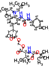 CCC(CC(=O)OCOC(=O)C(NC(=O)OC(C)(C)C)C(C)C)c1ccc(N(CC(C)C)CC(C)C)c(NC(=O)Nc2ccc(C)cc2)c1